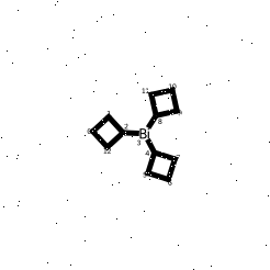 C1C[CH]([Bi]([CH]2CCC2)[CH]2CCC2)C1